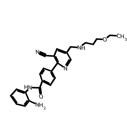 CCOCCCNCc1cnc(-c2ccc(C(=O)Nc3ccccc3N)cc2)c(C#N)c1